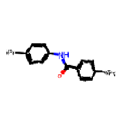 CC(C)c1ccc(NC(=O)c2ccc(C(C)C)cc2)cc1